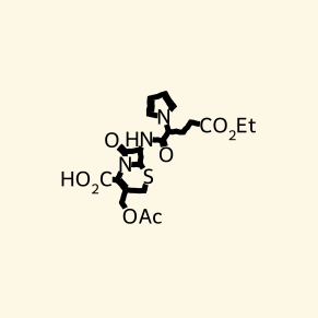 CCOC(=O)CCC(C(=O)NC1C(=O)N2C(C(=O)O)=C(COC(C)=O)CSC12)n1cccc1